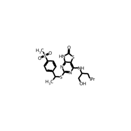 CC(C)CC(CO)Nc1nc(SC(C)c2ccc(S(C)(=O)=O)cc2)nc2[nH]c(=O)sc12